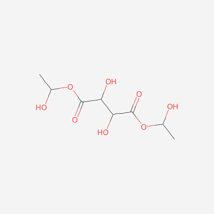 CC(O)OC(=O)C(O)C(O)C(=O)OC(C)O